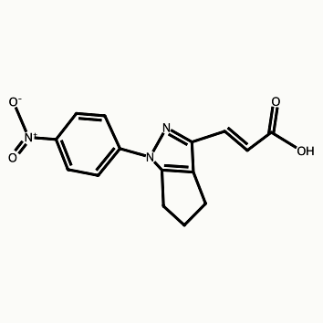 O=C(O)C=Cc1nn(-c2ccc([N+](=O)[O-])cc2)c2c1CCC2